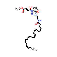 CC/C=C\C/C=C\C/C=C\C/C=C\C/C=C\C/C=C\CCC(=O)NCCNC(=O)[C@H](C)NC(=O)C=CC(=O)OC